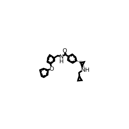 O=C(NCc1cccc(Oc2ccccc2)c1)c1ccc([C@@H]2C[C@H]2NCC2CC2)cc1